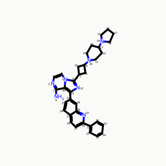 Nc1nccn2c(C3CC(N4CCC(N5CCCC5)CC4)C3)nc(-c3ccc4ccc(-c5ccccc5)nc4c3)c12